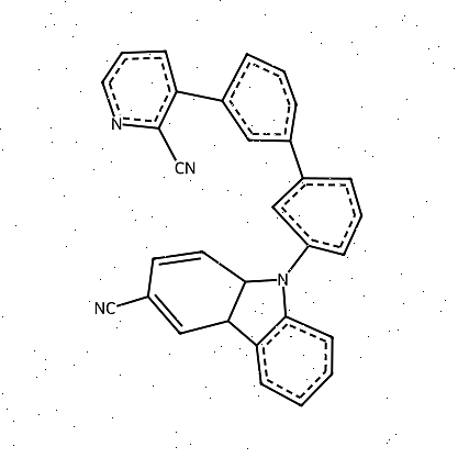 N#CC1=CC2c3ccccc3N(c3cccc(-c4cccc(-c5cccnc5C#N)c4)c3)C2C=C1